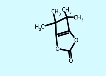 CC1(C)c2oc(=O)oc2C1(C)C